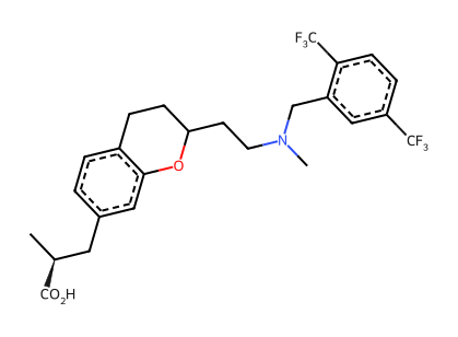 C[C@@H](Cc1ccc2c(c1)OC(CCN(C)Cc1cc(C(F)(F)F)ccc1C(F)(F)F)CC2)C(=O)O